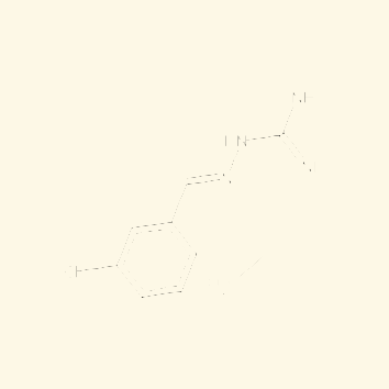 CC(=O)O.N=C(N)N/N=C/c1cccc(Cl)c1